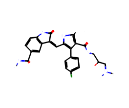 CCN(CC)CC(O)CNC(=O)c1c(C)[nH]c(C=C2C(=O)Nc3ccc(C(=O)NC(C)C)cc32)c1-c1ccc(F)cc1